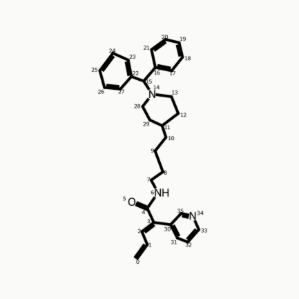 C=CC=C(C(=O)NCCCCC1CCN(C(c2ccccc2)c2ccccc2)CC1)c1cccnc1